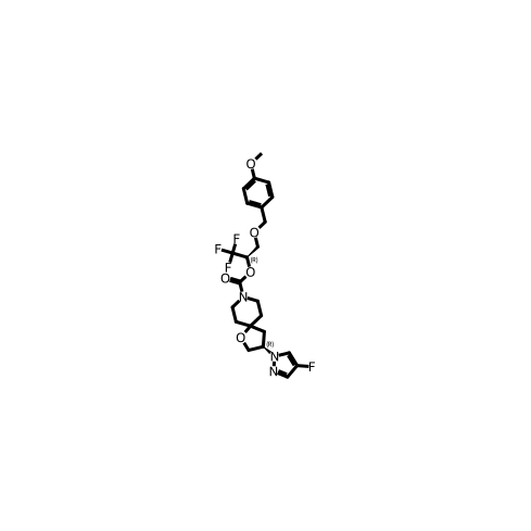 COc1ccc(COC[C@@H](OC(=O)N2CCC3(CC2)C[C@@H](n2cc(F)cn2)CO3)C(F)(F)F)cc1